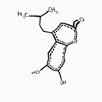 CC(C)Cc1cc(=O)oc2cc(O)c(O)cc12